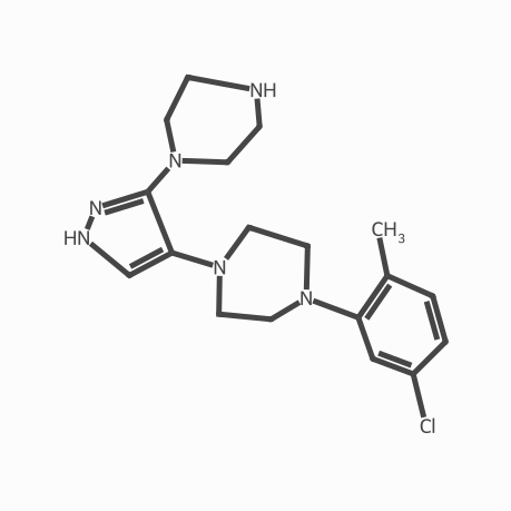 Cc1ccc(Cl)cc1N1CCN(c2c[nH]nc2N2CCNCC2)CC1